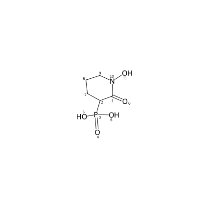 O=C1C(P(=O)(O)O)CCCN1O